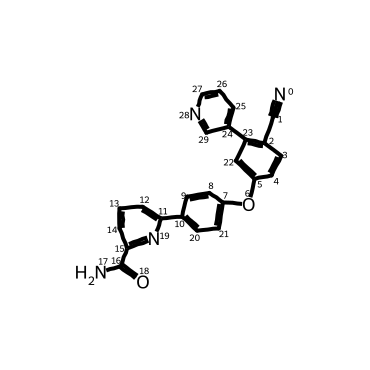 N#Cc1ccc(Oc2ccc(-c3cccc(C(N)=O)n3)cc2)cc1-c1cccnc1